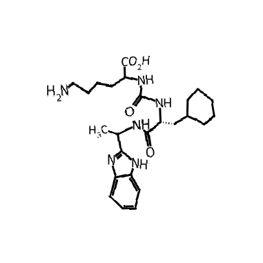 CC(NC(=O)[C@@H](CC1CCCCC1)NC(=O)NC(CCCCN)C(=O)O)c1nc2ccccc2[nH]1